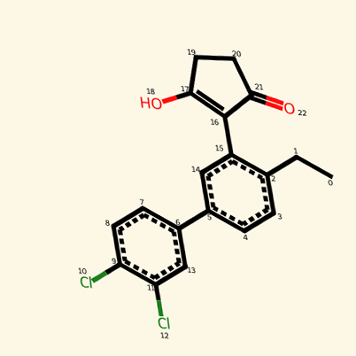 CCc1ccc(-c2ccc(Cl)c(Cl)c2)cc1C1=C(O)CCC1=O